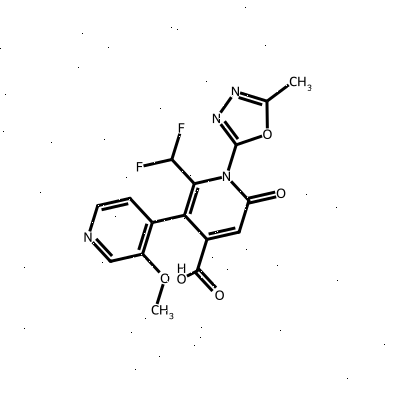 COc1cnccc1-c1c(C(=O)O)cc(=O)n(-c2nnc(C)o2)c1C(F)F